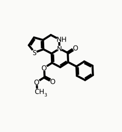 COC(=O)Oc1cc(-c2ccccc2)c(=O)n2c1-c1sccc1CN2